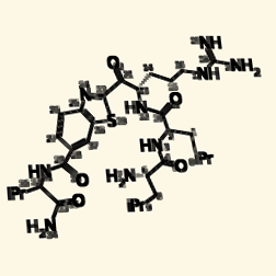 CC(C)CC(NC(=O)[C@@H](N)CC(C)C)C(=O)N[C@@H](CCCNC(=N)N)C(=O)c1nc2ccc(C(=O)NC(C(N)=O)C(C)C)cc2s1